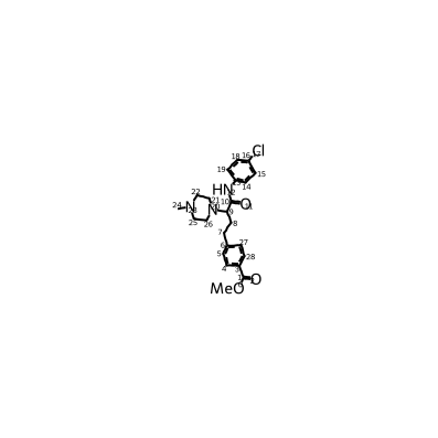 COC(=O)c1ccc(CCC(C(=O)Nc2ccc(Cl)cc2)N2CCN(C)CC2)cc1